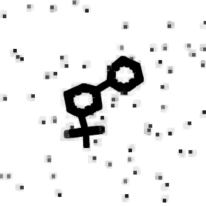 CS(=O)(=O)c1cccc(-c2ncccn2)c1